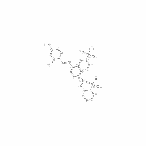 Cc1cc(N)ccc1N=Nc1ccc(N=Nc2ccccc2S(=O)(=O)O)c2ccc(S(=O)(=O)O)cc12